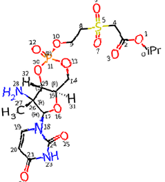 CC(C)OC(=O)CS(=O)(=O)CCO[P@@]1(=O)OC[C@H]2O[C@@H](n3ccc(=O)[nH]c3=O)[C@](C)(N)[C@@H]2O1